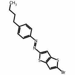 CCCCc1ccc(N=Nc2cc3sc(Br)cc3s2)cc1